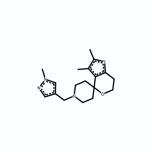 Cc1sc2c(c1C)C1(CCN(Cc3cnn(C)c3)CC1)OCC2